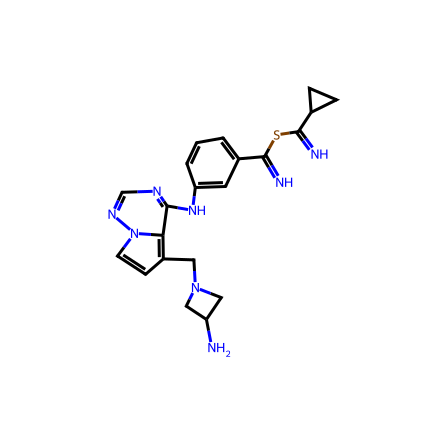 N=C(SC(=N)C1CC1)c1cccc(Nc2ncnn3ccc(CN4CC(N)C4)c23)c1